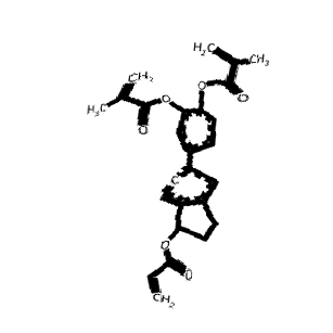 C=CC(=O)OC1CCc2cc(-c3ccc(OC(=O)C(=C)C)c(OC(=O)C(=C)C)c3)ccc21